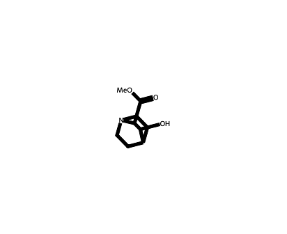 COC(=O)C1C(O)C2CCN1CC2